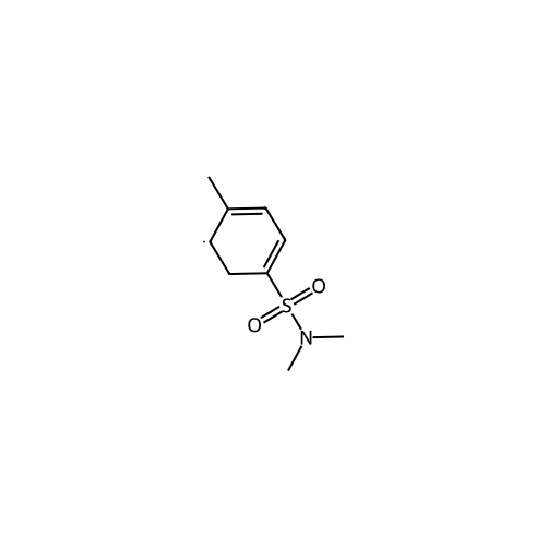 CC1=CC=C(S(=O)(=O)N(C)C)C[CH]1